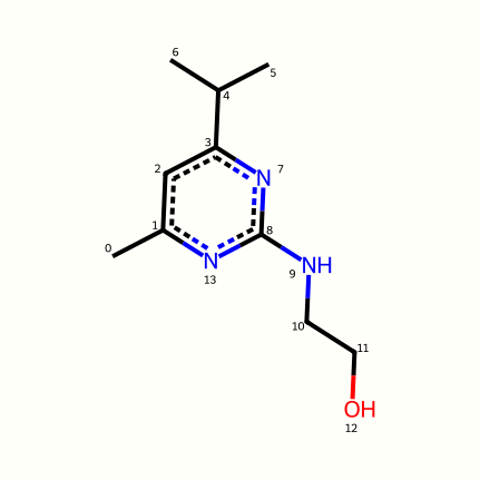 Cc1cc(C(C)C)nc(NCCO)n1